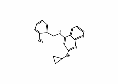 FC(F)(F)c1ncccc1CNc1nc(NC2CC2)nc2ncccc12